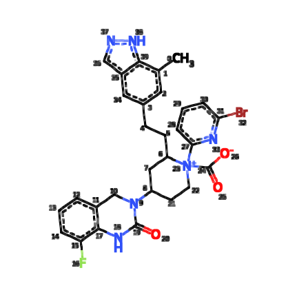 Cc1cc(CCC2CC(N3Cc4cccc(F)c4NC3=O)CC[N+]2(C(=O)[O-])c2cccc(Br)n2)cc2cn[nH]c12